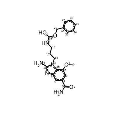 COc1cc(C(N)=O)cc2nc(N)n(CCCNC(O)OCc3ccccc3)c12